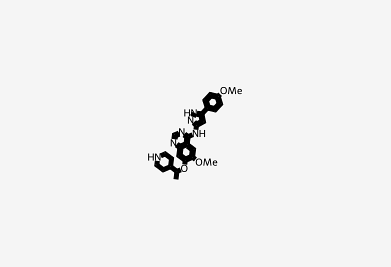 COc1ccc(-c2cc(Nc3ncnc4cc(OC(C)C5CCNCC5)c(OC)cc34)n[nH]2)cc1